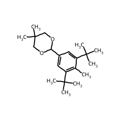 Cc1c(C(C)(C)C)cc(C2OCC(C)(C)CO2)cc1C(C)(C)C